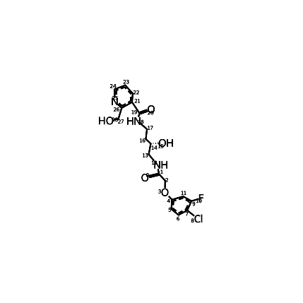 O=C(COc1ccc(Cl)c(F)c1)NC[C@@H](O)CCNC(=O)c1cccnc1CO